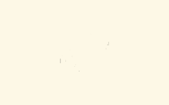 CC1(S(=O)(=O)O)SCCC(S)S1